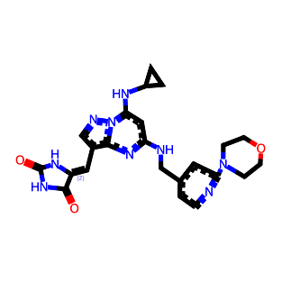 O=C1NC(=O)/C(=C/c2cnn3c(NC4CC4)cc(NCc4ccnc(N5CCOCC5)c4)nc23)N1